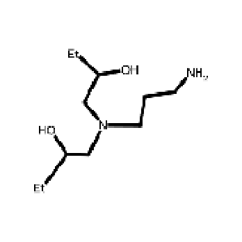 CCC(O)CN(CCCN)CC(O)CC